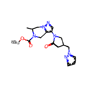 CC1Cn2ncc(N3CC(Cn4cccn4)CC3=O)c2CN1C(=O)OC(C)(C)C